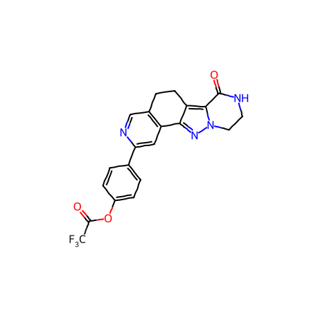 O=C1NCCn2nc3c(c21)CCc1cnc(-c2ccc(OC(=O)C(F)(F)F)cc2)cc1-3